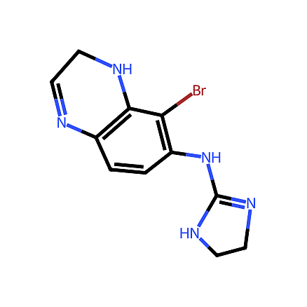 Brc1c(NC2=NCCN2)ccc2c1NCC=N2